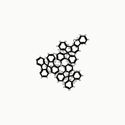 c1ccc2c(c1)-c1ccccc1C21c2ccccc2-c2c(N(c3cccc4c3-c3ccccc3C43c4ccccc4-c4ccccc43)c3cccc4c3-c3ccccc3C43c4ccccc4-c4c3ccc3c4oc4ccccc43)cccc21